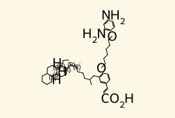 CC(CCC[C@@H](C)[C@H]1CC[C@H]2[C@@H]3CCC4CCCC[C@]4(C)[C@H]3CC[C@]12C)Cc1cc(C=CC(=O)O)ccc1OCCCCCCOc1ccc(N)cc1N